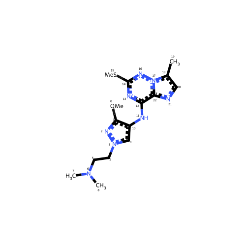 COc1nn(CCN(C)C)cc1Nc1nc(SC)nn2c(C)cnc12